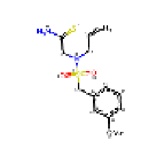 C=CCN(CC(N)=S)S(=O)(=O)Cc1cccc(OC)c1